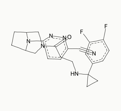 N#Cc1ccc(N2C3CCC2CN(C(=O)CCNC2(c4ccc(F)c(F)c4)CC2)C3)nn1